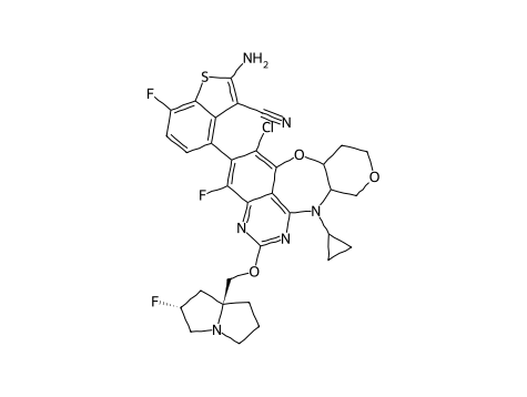 N#Cc1c(N)sc2c(F)ccc(-c3c(Cl)c4c5c(nc(OC[C@@]67CCCN6C[C@H](F)C7)nc5c3F)N(C3CC3)C3COCCC3O4)c12